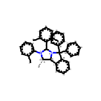 Cc1ccccc1N1C(c2c(C)cccc2C)N2C(c3ccccc3C2(c2ccccc2)c2ccccc2)[C@@H]1C